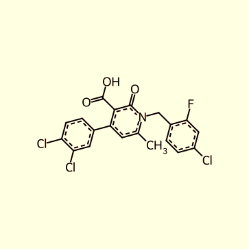 Cc1cc(-c2ccc(Cl)c(Cl)c2)c(C(=O)O)c(=O)n1Cc1ccc(Cl)cc1F